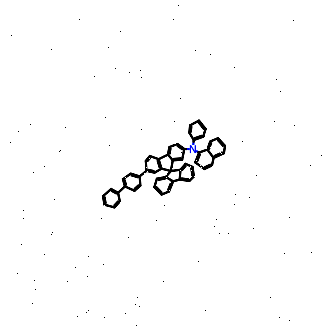 c1ccc(-c2ccc(-c3ccc4c(c3)C3(c5ccccc5-c5ccccc53)c3cc(N(c5ccccc5)c5cccc6ccccc56)ccc3-4)cc2)cc1